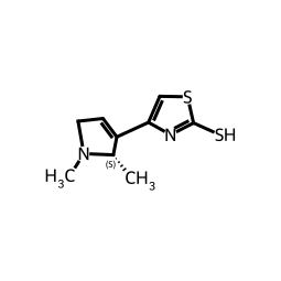 C[C@H]1C(c2csc(S)n2)=CCN1C